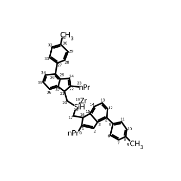 CCCC1=Cc2c(-c3ccc(C)cc3)cccc2C1C[SiH]([Zr])CC1C(CCC)=Cc2c(-c3ccc(C)cc3)cccc21